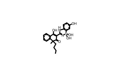 CCCCC1(C)C(=O)C(C2=NS(O)(O)c3cc(O)ccc3N2)=C(O)c2ccccc21